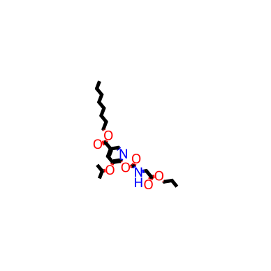 CCCCCCCCOC(=O)c1cnc(OC(=O)NCC(=O)OCCC)c(OC(C)C)c1